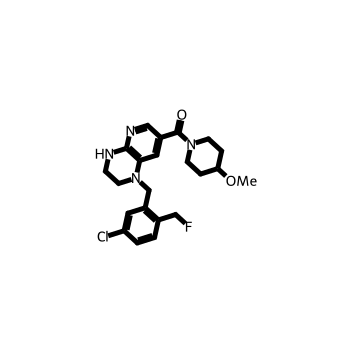 COC1CCN(C(=O)c2cnc3c(c2)N(Cc2cc(Cl)ccc2CF)CCN3)CC1